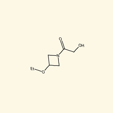 CCOC1CN(C(=O)CO)C1